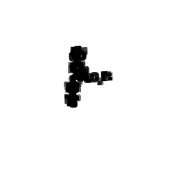 CCOC(=O)c1cc(Cc2ccc(-c3cscn3)cc2)c2c(n1)CN(C(=O)OC(C)(C)C)CC2